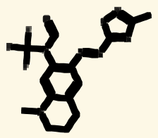 Cc1nsc(N=Nc2cc3c(cc2N(C=O)C(F)(F)F)N(C)CCC3)n1